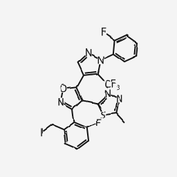 Cc1nnc(-c2c(-c3c(F)cccc3CI)noc2-c2cnn(-c3ccccc3F)c2C(F)(F)F)s1